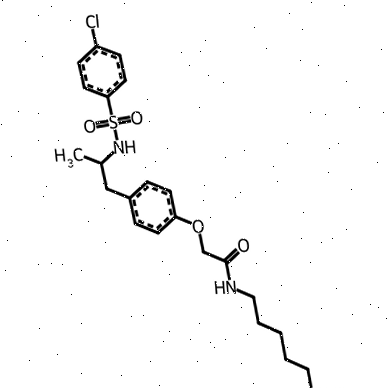 CC(Cc1ccc(OCC(=O)NCCCCCC(=O)O)cc1)NS(=O)(=O)c1ccc(Cl)cc1